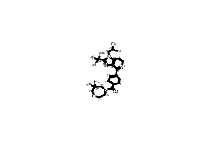 O=C(c1ccc(-c2nccc3c2nc(C(F)(F)F)n3CC(F)F)cc1)N1CCOCC(F)(F)C1